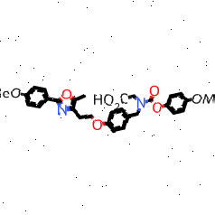 COc1ccc(OC(=O)N(CC(=O)O)Cc2ccc(OCCc3nc(-c4ccc(OC)cc4)oc3C)cc2)cc1